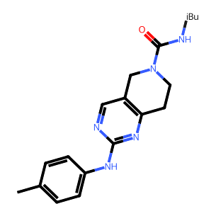 CCC(C)NC(=O)N1CCc2nc(Nc3ccc(C)cc3)ncc2C1